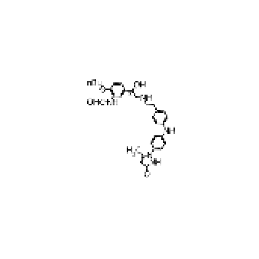 CCCCOc1ccc([C@@H](O)CNCCc2ccc(Nc3ccc(-n4[nH]c(=O)cc4C)cc3)cc2)cc1NC=O